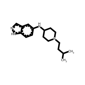 CC(C)CCN1CCC(Nc2ccc3[nH]ncc3c2)CC1